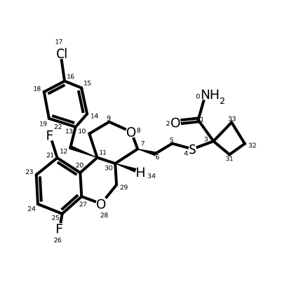 NC(=O)C1(SCC[C@@H]2OCC[C@@]3(Cc4ccc(Cl)cc4)c4c(F)ccc(F)c4OC[C@@H]23)CCC1